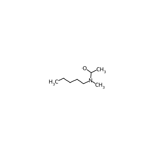 CCCCCN(C)C(C)[O]